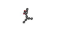 c1ccc(-c2ccc(N(c3ccc(-c4ccccc4)cc3)c3ccc(-c4ccc5c(c4)Sc4cc6ccccc6cc4C54c5ccccc5-c5ccccc54)cc3)cc2)cc1